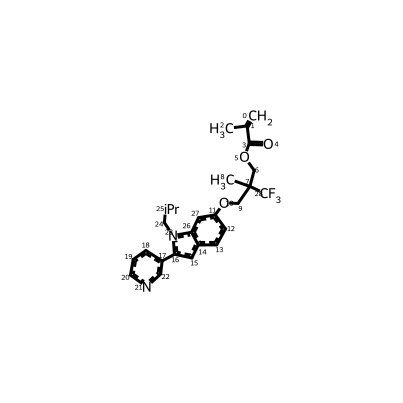 C=C(C)C(=O)OCC(C)(COc1ccc2cc(-c3cccnc3)n(CC(C)C)c2c1)C(F)(F)F